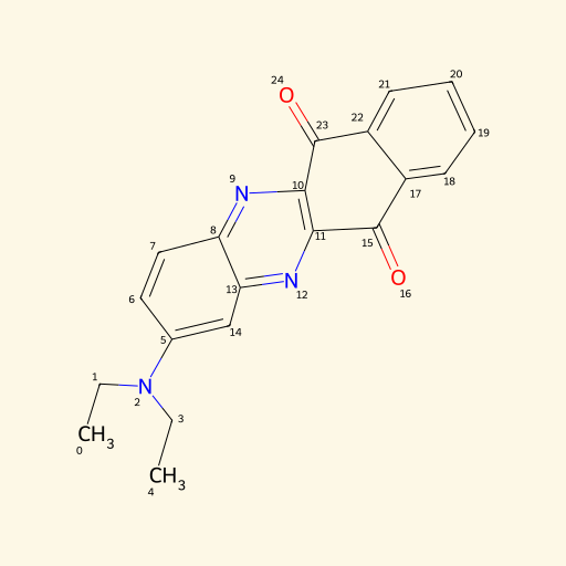 CCN(CC)c1ccc2nc3c(nc2c1)C(=O)c1ccccc1C3=O